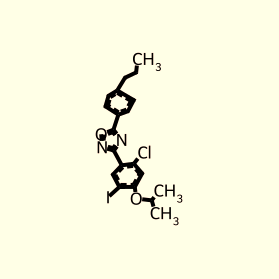 CCCc1ccc(-c2nc(-c3cc(I)c(OC(C)C)cc3Cl)no2)cc1